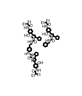 CCC(CC)C(=O)Nc1ccc(-c2cc(C3CCCC3)n(C(=O)NCCc3ccccc3)n2)c(O)c1.CCC(CC)C(=O)Nc1ccc(-c2cc(C3CCCC3)n(C(=O)NCc3ccccc3)n2)c(O)c1.CCCNC(=O)n1nc(-c2ccc(NC(=O)C(CC)CC)cc2O)cc1C1CCCC1